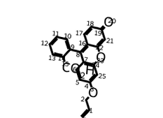 C=CCOc1ccc2c(-c3ccccc3C(=O)O)c3ccc(=O)cc-3oc2c1